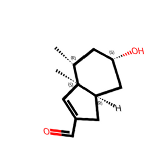 C[C@@H]1C[C@H](O)C[C@H]2CC(C=O)=C[C@]21C